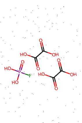 O=C(O)C(=O)O.O=C(O)C(=O)O.O=P(O)(O)F